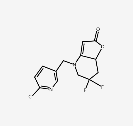 O=C1C=C2C(CC(F)(F)CN2Cc2ccc(Cl)nc2)O1